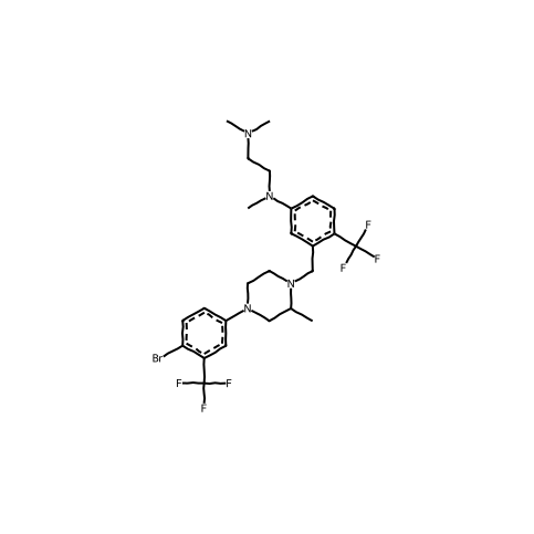 CC1CN(c2ccc(Br)c(C(F)(F)F)c2)CCN1Cc1cc(N(C)CCN(C)C)ccc1C(F)(F)F